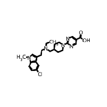 CCN(CCc1cn(C)c2ccc(Cl)cc12)CC1CCN(c2ncc(C(=O)O)cn2)CC1